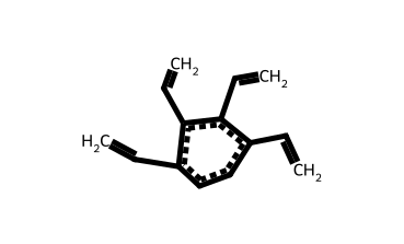 C=Cc1ccc(C=C)c(C=C)c1C=C